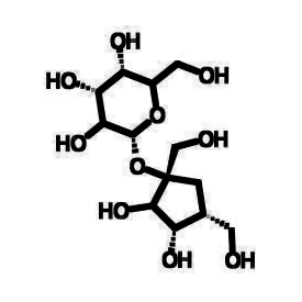 OCC1O[C@H](O[C@]2(CO)C[C@H](CO)[C@H](O)C2O)C(O)[C@H](O)[C@@H]1O